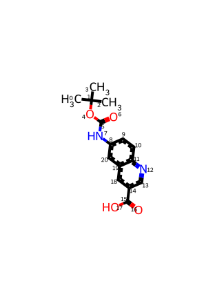 CC(C)(C)OC(=O)Nc1ccc2ncc(C(=O)O)cc2c1